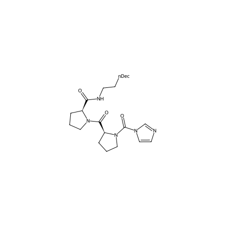 CCCCCCCCCCCCNC(=O)[C@@H]1CCCN1C(=O)[C@@H]1CCCN1C(=O)n1ccnc1